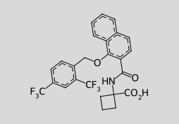 O=C(NC1(C(=O)O)CCC1)c1ccc2ccccc2c1OCc1ccc(C(F)(F)F)cc1C(F)(F)F